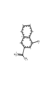 C=C(C)c1cc(CC)c2ccccc2c1